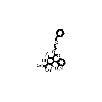 CCOC1=C(C(O)=C=O)NC(C)=C(C(=O)OCCOCc2ccccc2)C1c1ccccc1[N+](=O)[O-]